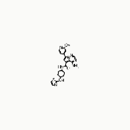 COc1cc(-c2cc(C(=O)N[C@H]3CC[C@H](Nc4nccs4)CC3)c3c(N)ncnn23)ccn1